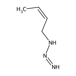 C/C=C\CNN=N